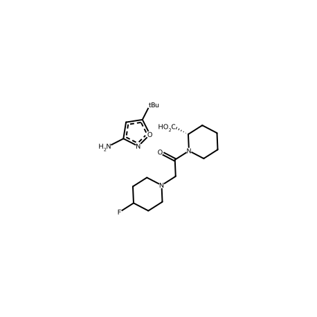 CC(C)(C)c1cc(N)no1.O=C(O)[C@@H]1CCCCN1C(=O)CN1CCC(F)CC1